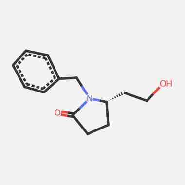 O=C1CC[C@@H](CCO)N1Cc1ccccc1